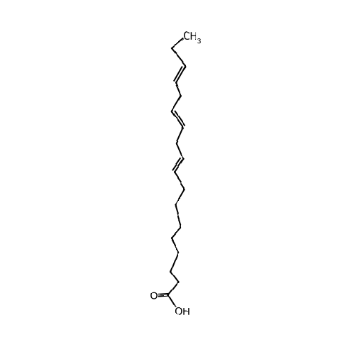 CCC=CCC=CC/C=C/CCCCCCCC(=O)O